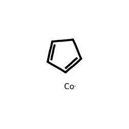 C1=CCC=C1.[Co]